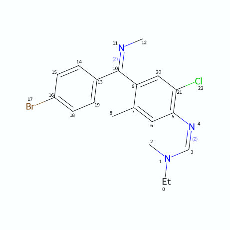 CCN(C)/C=N\c1cc(C)c(/C(=N\C)c2ccc(Br)cc2)cc1Cl